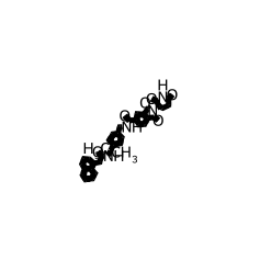 CC(C)(NC(=O)Cc1cccc2ccccc12)c1ccc(CNC(=O)c2ccc3c(c2)C(=O)N(C2CCC(=O)NC2=O)C3=O)cc1